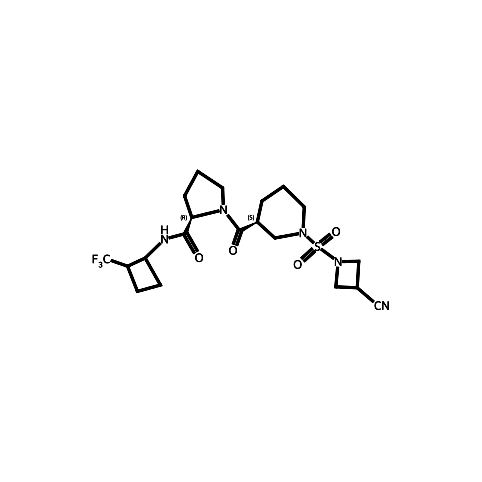 N#CC1CN(S(=O)(=O)N2CCC[C@H](C(=O)N3CCC[C@@H]3C(=O)NC3CCC3C(F)(F)F)C2)C1